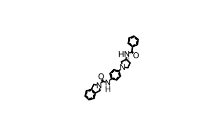 O=C(N[C@H]1CCN(c2ccc(NC(=O)N3Cc4ccccc4C3)cc2)C1)c1ccccc1